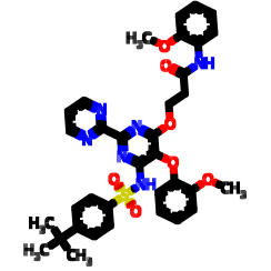 COc1ccccc1NC(=O)CCOc1nc(-c2ncccn2)nc(NS(=O)(=O)c2ccc(C(C)(C)C)cc2)c1Oc1ccccc1OC